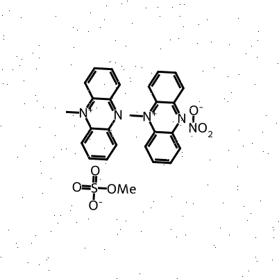 COS(=O)(=O)[O-].C[n+]1c2ccccc2nc2ccccc21.C[n+]1c2ccccc2nc2ccccc21.O=[N+]([O-])[O-]